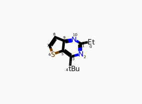 CCc1nc(C(C)(C)C)c2sccc2n1